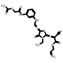 C=CCOC(=O)C(=C=c1sc(=C=CNc2cccc(NC(=O)COC(C)=O)c2)c(=O)n1CC)C#N